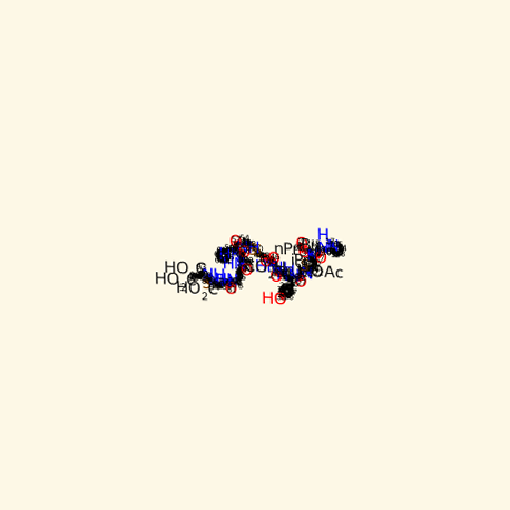 CCCC(=O)OCN(C(=O)[C@@H](NC[C@H]1CCCCN1C)C(C)CC)[C@H](C[C@@H](OC(C)=O)c1nc(C(=O)N[C@@H](Cc2ccc(O)cc2)C[C@H](C)C(=O)NNC(=O)OCCSSC[C@H](C)NC(=O)[C@H](Cc2ccccc2)NC(=O)[C@H](CC(=O)O)NC(=O)CC[C@@H](C)NC(=O)CC[C@@H](NC(=S)N[C@H](CCC(=O)O)C(=O)O)C(=O)O)cs1)C(C)C